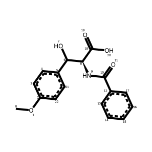 COc1ccc(C(O)[C@H](NC(=O)c2ccccc2)C(=O)O)cc1